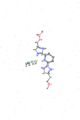 COCCC1=NC(c2cccc(C3=NCC(CCOC)=N3)n2)=NC1.[Cl-].[Cl-].[Cl-].[V+3]